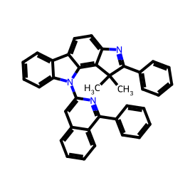 CC1(C)C(c2ccccc2)=Nc2ccc3c4ccccc4n(-c4cc5ccccc5c(-c5ccccc5)n4)c3c21